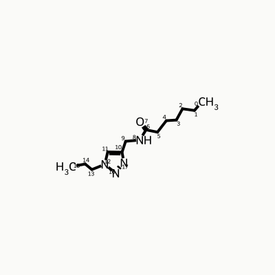 CCCCCCC(=O)NCc1cn(CCC)nn1